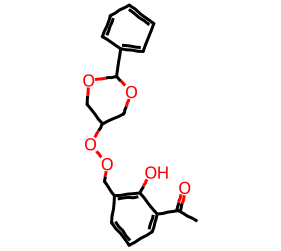 CC(=O)c1cccc(COOC2COC(c3ccccc3)OC2)c1O